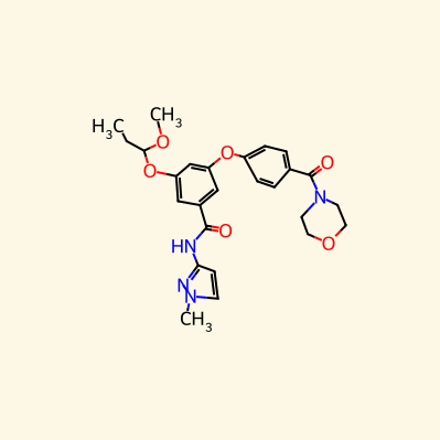 CCC(OC)Oc1cc(Oc2ccc(C(=O)N3CCOCC3)cc2)cc(C(=O)Nc2ccn(C)n2)c1